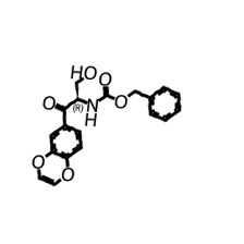 O=C(N[C@H](CO)C(=O)c1ccc2c(c1)OC=CO2)OCc1ccccc1